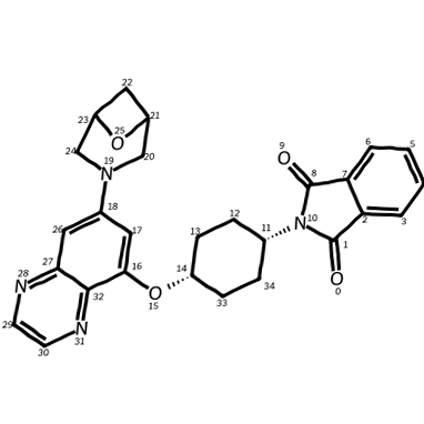 O=C1c2ccccc2C(=O)N1[C@H]1CC[C@@H](Oc2cc(N3CC4CC(C3)O4)cc3nccnc23)CC1